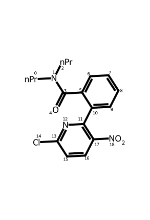 CCCN(CCC)C(=O)c1ccccc1-c1nc(Cl)ccc1[N+](=O)[O-]